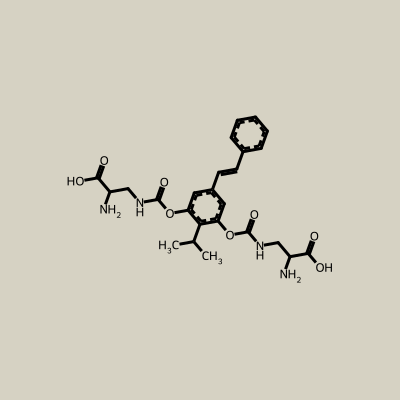 CC(C)c1c(OC(=O)NCC(N)C(=O)O)cc(/C=C/c2ccccc2)cc1OC(=O)NCC(N)C(=O)O